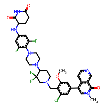 COc1cc(-c2cn(C)c(=O)c3cnccc23)cc(Cl)c1CN1CCC(N2CCN(c3c(F)cc(NC4CCC(=O)NC4=O)cc3F)CC2)C(F)(F)C1